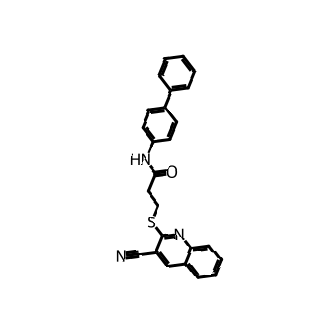 N#Cc1cc2ccccc2nc1SCCC(=O)Nc1ccc(-c2ccccc2)cc1